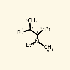 CCCC(C(C)C(C)CC)N(C)CC